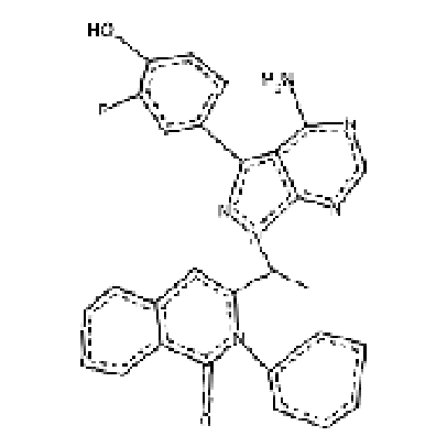 CC(c1cc2ccccc2c(=O)n1-c1ccccc1)n1nc(-c2ccc(O)c(F)c2)c2c(N)ncnc21